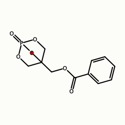 O=C(OCC12COP(=O)(OC1)OC2)c1ccccc1